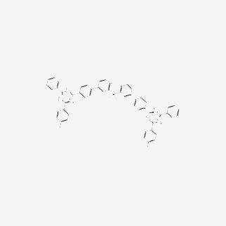 Cc1ccc(-c2nc(-c3ccccc3)nc(-c3ccc(-c4ccc5c(c4)C(C)(C)c4cc(-c6ccc(-c7nc(-c8ccccc8)nc(-c8ccc(C)cc8)n7)cc6)ccc4O5)cc3)n2)cc1